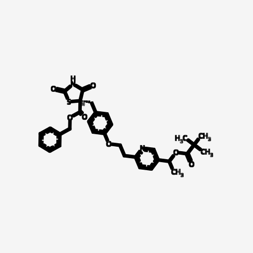 CC(OC(=O)C(C)(C)C)c1ccc(CCOc2ccc(C[C@]3(C(=O)OCc4ccccc4)SC(=O)NC3=O)cc2)nc1